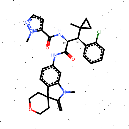 C=C1N(C)c2cc(NC(=O)[C@@H](NC(=O)c3ccnn3C)[C@H](c3ccccc3Cl)C3(C)CC3)ccc2C12CCOCC2